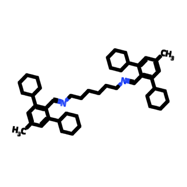 Cc1cc(C2CCCCC2)c(C=NCCCCCCN=Cc2c(C3CCCCC3)cc(C)cc2C2CCCCC2)c(C2CCCCC2)c1